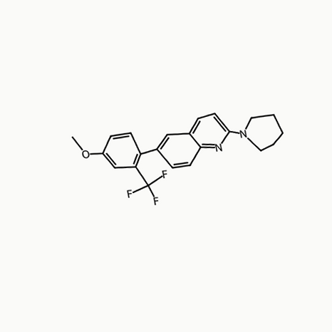 COc1ccc(-c2ccc3nc(N4CCCCC4)ccc3c2)c(C(F)(F)F)c1